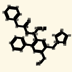 CC(C)Cc1cc(-c2ccccc2)c(N(OC(=O)Cc2ccccc2)S(=O)(=O)O)cc1Cn1cncn1